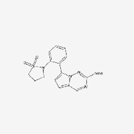 CSc1ncc2ccc(-c3ccccc3N3CCCS3(=O)=O)n2n1